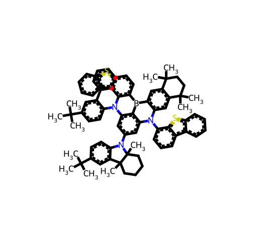 CC(C)(C)c1ccc(N2c3cc(N4c5ccc(C(C)(C)C)cc5C5(C)CCCCC45C)cc4c3B(c3cc5c(cc3N4c3cccc4c3sc3ccccc34)C(C)(C)CCC5(C)C)c3ccc4sc5ccccc5c4c32)c(-c2ccccc2)c1